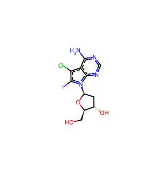 Nc1ncnc2c1c(Cl)c(I)n2[C@H]1C[C@H](O)[C@@H](CO)O1